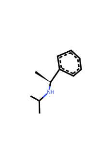 CC(C)N[C@@H](C)c1ccccc1